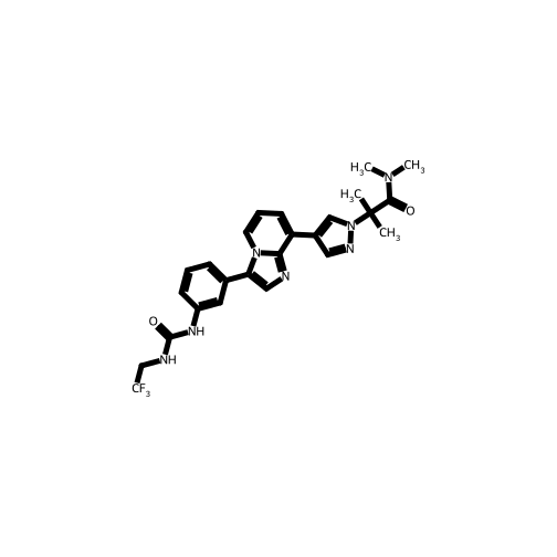 CN(C)C(=O)C(C)(C)n1cc(-c2cccn3c(-c4cccc(NC(=O)NCC(F)(F)F)c4)cnc23)cn1